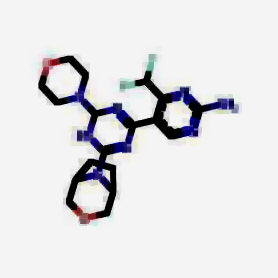 Nc1ncc(C2=NC(N3CCOCC3)NC(N3C4CCC3COC4)=N2)c(C(F)F)n1